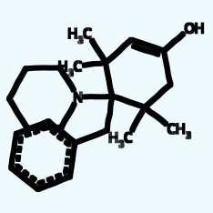 CC1(C)C=C(O)CC(C)(C)C1(Cc1ccccc1)N1CCCCC1